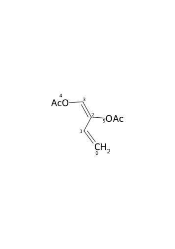 C=CC(=COC(C)=O)OC(C)=O